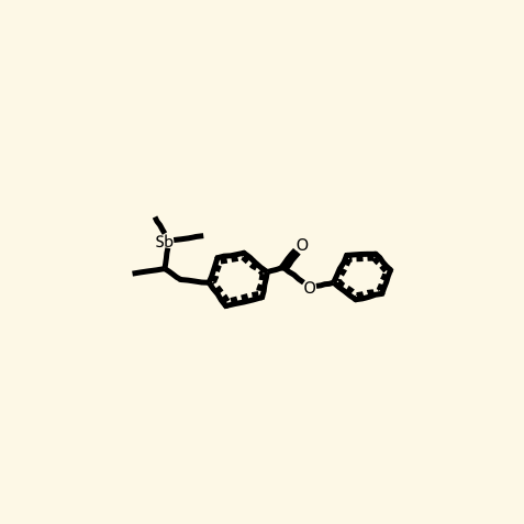 C[CH](Cc1ccc(C(=O)Oc2ccccc2)cc1)[Sb]([CH3])[CH3]